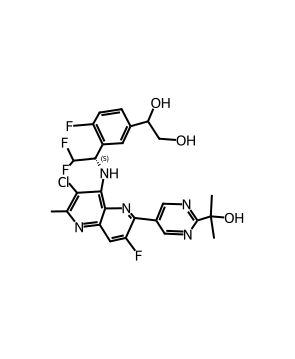 Cc1nc2cc(F)c(-c3cnc(C(C)(C)O)nc3)nc2c(N[C@@H](c2cc(C(O)CO)ccc2F)C(F)F)c1Cl